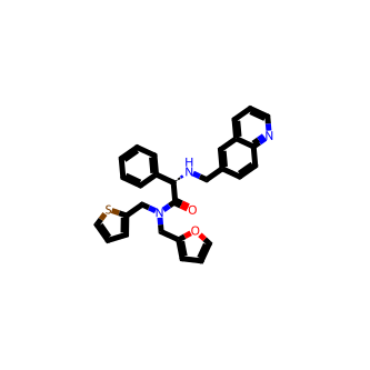 O=C([C@@H](NCc1ccc2ncccc2c1)c1ccccc1)N(Cc1ccco1)Cc1cccs1